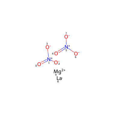 O=[N+]([O-])[O-].O=[N+]([O-])[O-].[La].[Mg+2]